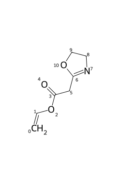 C=COC(=O)CC1=NCCO1